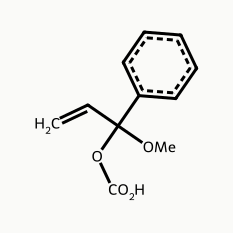 C=CC(OC)(OC(=O)O)c1ccccc1